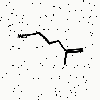 C=C(C)CCCSC